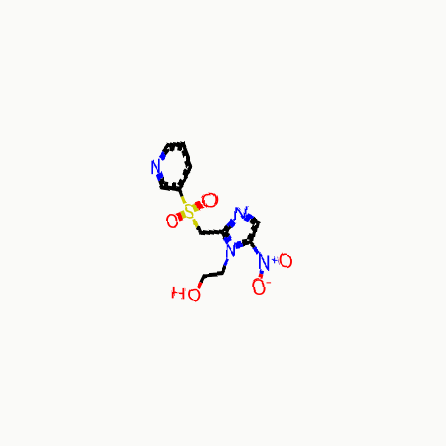 O=[N+]([O-])c1cnc(CS(=O)(=O)c2cccnc2)n1CCO